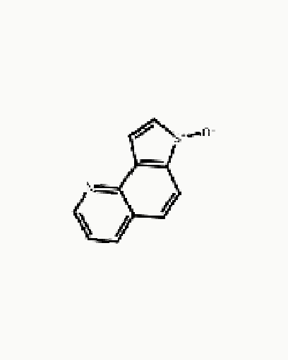 [O-][s+]1ccc2c3ncccc3ccc21